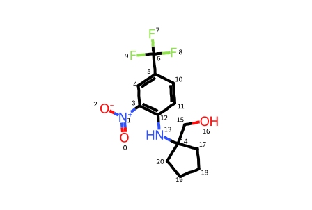 O=[N+]([O-])c1cc(C(F)(F)F)ccc1NC1(CO)CCCC1